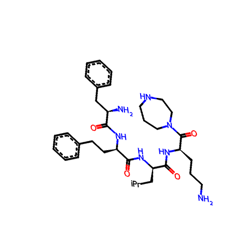 CC(C)C[C@@H](NC(=O)[C@@H](CCc1ccccc1)NC(=O)[C@H](N)Cc1ccccc1)C(=O)N[C@H](CCCN)C(=O)N1CCCNCC1